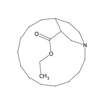 CCOC(=O)C1CN2CCCCCCCCCCCC1CC2